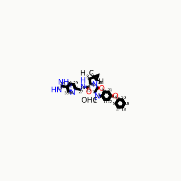 C[C@@]12C[C@@H]1N(C(=O)CN(C=O)c1ccc(Oc3ccccc3)cc1)[C@H](C(=O)NCc1ccc(C(=N)N)cn1)C2